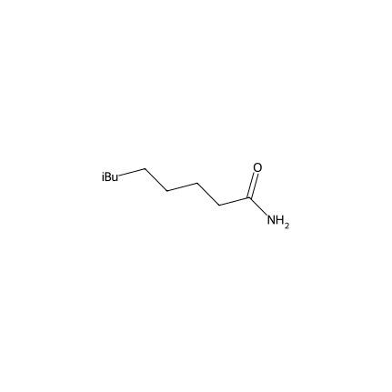 CCC(C)CCCCC(N)=O